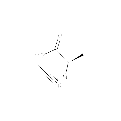 CC#N.C[C@@H](N)C(=O)O